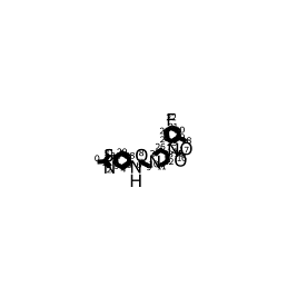 Cc1nc2cc(NC(=O)CN3CCC(N4C(=O)OCc5cc(F)ccc54)CC3)ccc2s1